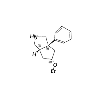 CCO[C@@H]1C[C@@H]2CNC[C@]2(c2ccccc2)C1